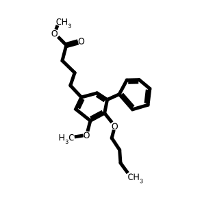 CCCCOc1c(OC)cc(CCCC(=O)OC)cc1-c1ccccc1